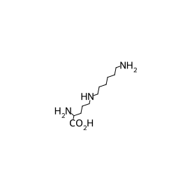 NCCCCCCNCCCC(N)C(=O)O